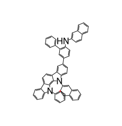 c1ccc(-c2cc(-c3ccc4c(c3)c3ccc5c6ccccc6n(-c6ccccc6)c5c3n4-c3ccc4ccccc4c3)ccc2Nc2ccc3ccccc3c2)cc1